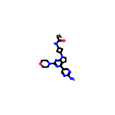 CC(=O)N[C@H]1C[C@@H](N2CCc3c(-c4cnc(N)nc4)nc(N4CCOCC4)nc32)C1